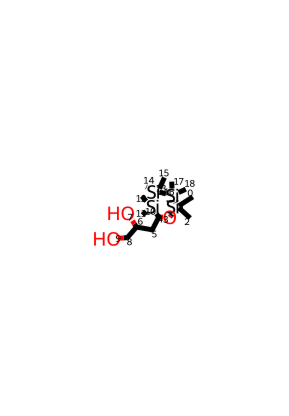 C[Si]1(C)OC(CC(O)CO)[Si](C)(C)[Si](C)(C)[Si]1(C)C